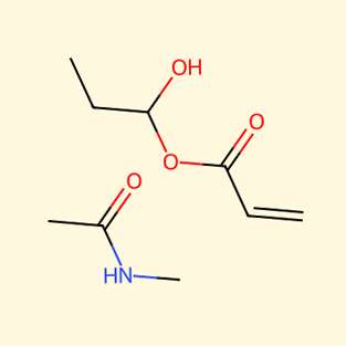 C=CC(=O)OC(O)CC.CNC(C)=O